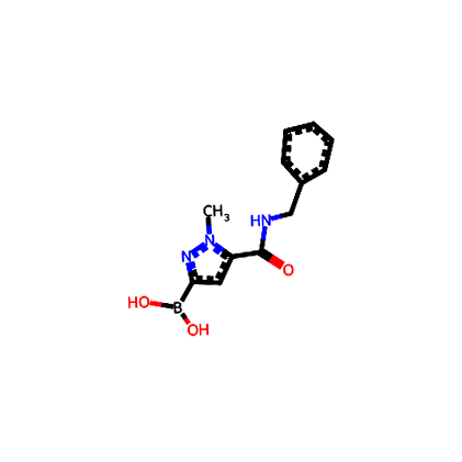 Cn1nc(B(O)O)cc1C(=O)NCc1ccccc1